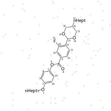 CCCCCCCOc1ccc(OC(=O)c2ccc(C3OCC(CCCCCCC)CO3)c(F)c2)cc1